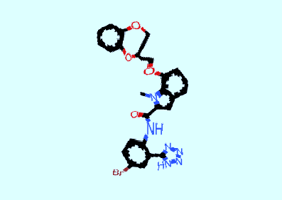 Cn1c(C(=O)Nc2ccc(Br)cc2-c2nnn[nH]2)cc2cccc(OCC3COc4ccccc4O3)c21